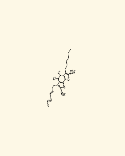 CCCCCCc1c(Br)sc2c1C(=O)C(=O)c1c-2sc(Br)c1CCCCCC